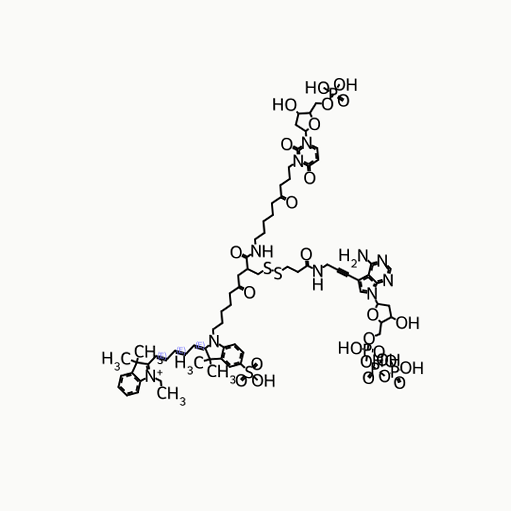 CC[N+]1=C(/C=C/C=C/C=C2/N(CCCCCC(=O)CC(CSSCCC(=O)NCC#Cc3cn(C4CC(O)C(COP(=O)(O)OP(=O)(O)OP(=O)(O)O)O4)c4ncnc(N)c34)C(=O)NCCCCCC(=O)CCCn3c(=O)ccn(C4CC(O)C(COP(=O)(O)O)O4)c3=O)c3ccc(S(=O)(=O)O)cc3C2(C)C)C(C)(C)c2ccccc21